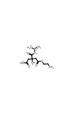 CCCOC(=O)CC(O)(CC(=O)O)C(=O)ON(C)C